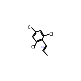 C/C=C/c1c(Cl)cc(Cl)cc1Cl